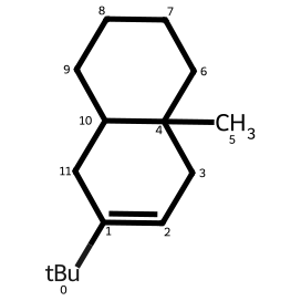 CC(C)(C)C1=CCC2(C)CCCCC2C1